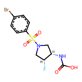 O=C(O)N[C@H]1CN(S(=O)(=O)c2ccc(Br)cc2)C[C@H]1F